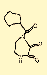 O=C1NCCN(C(=O)C2CCCC2)C1=O